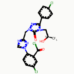 O=C(Cl)c1cc(Cl)ccc1-n1cnc(Cn2nc(-c3ccc(Cl)cc3)n(C[C@H](O)C(F)(F)F)c2=O)n1